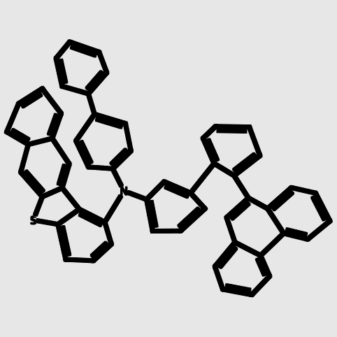 c1ccc(-c2ccc(N(c3cccc(-c4ccccc4-c4cc5ccccc5c5ccccc45)c3)c3cccc4sc5cc6ccccc6cc5c34)cc2)cc1